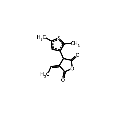 CC=C1C(=O)OC(=O)C1c1cc(C)sc1C